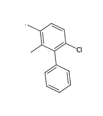 [CH2]c1ccc(Cl)c(-c2ccccc2)c1C